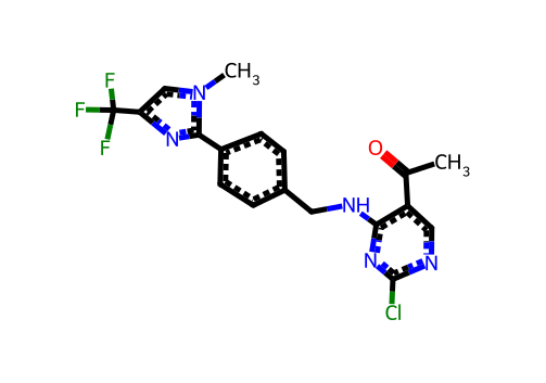 CC(=O)c1cnc(Cl)nc1NCc1ccc(-c2nc(C(F)(F)F)cn2C)cc1